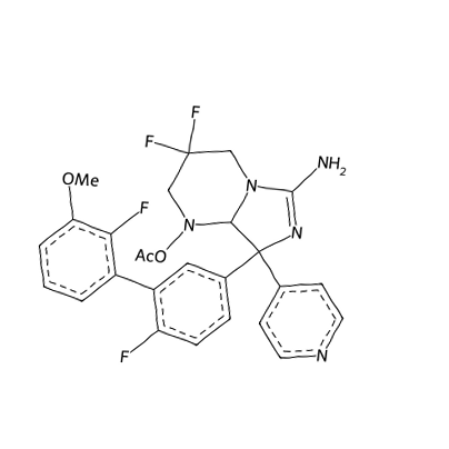 COc1cccc(-c2cc(C3(c4ccncc4)N=C(N)N4CC(F)(F)CN(OC(C)=O)C43)ccc2F)c1F